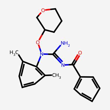 Cc1cccc(C)c1N(OC1CCCOC1)C(N)=NC(=O)c1ccccc1